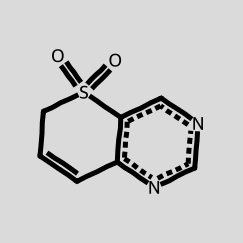 O=S1(=O)CC=Cc2ncncc21